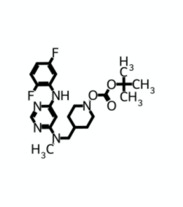 CN(CC1CCN(OC(=O)OC(C)(C)C)CC1)c1cc(Nc2cc(F)ccc2F)ncn1